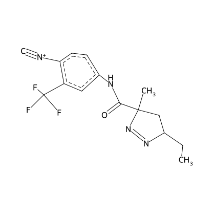 [C-]#[N+]c1ccc(NC(=O)C2(C)CC(CC)N=N2)cc1C(F)(F)F